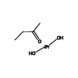 CC(C)O.CCC(C)=O.CO